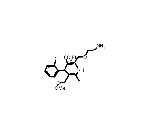 CCOC(=O)C1=C(COCCN)NC(C)=C(COOC)C1c1ccccc1Cl